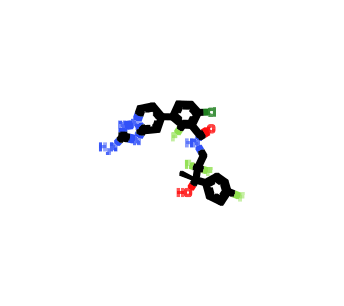 C[C@](O)(c1ccc(F)cc1)C(F)(F)CNC(=O)c1c(Cl)ccc(-c2ccn3nc(N)nc3c2)c1F